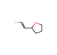 FC=CC1CCCO1